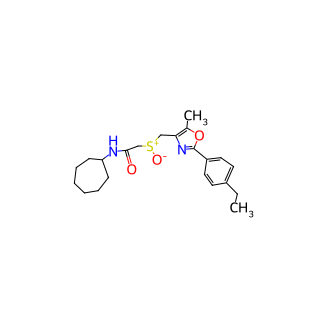 CCc1ccc(-c2nc(C[S+]([O-])CC(=O)NC3CCCCCC3)c(C)o2)cc1